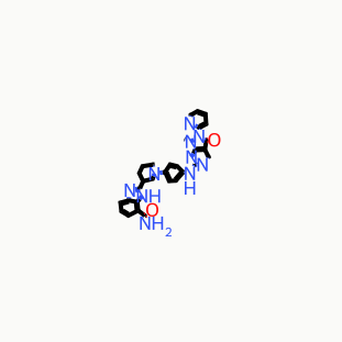 Cn1c2nc(Nc3ccc(N4CCCC(c5nc6cccc(C(N)=O)c6[nH]5)C4)cc3)ncc2c(=O)n1-c1ccccn1